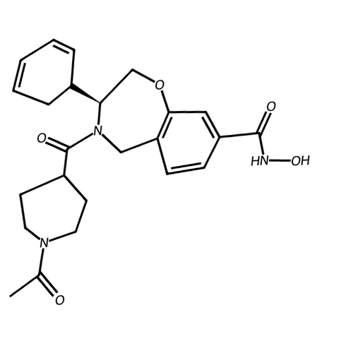 CC(=O)N1CCC(C(=O)N2Cc3ccc(C(=O)NO)cc3OC[C@@H]2C2C=CC=CC2)CC1